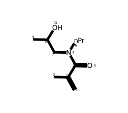 C=C(C)C(=O)N(CCC)CC(C)O